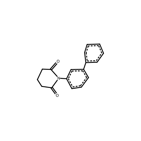 O=C1CCCC(=O)N1c1cccc(-c2ccccc2)c1